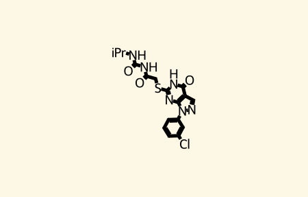 CC(C)NC(=O)NC(=O)CSc1nc2c(cnn2-c2cccc(Cl)c2)c(=O)[nH]1